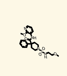 COCCNS(=O)(=O)N1CCC(C(=O)Nc2cccnc2OC)(c2ccccc2)CC1